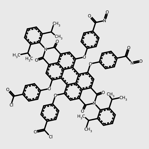 CC(C)c1cccc(C(C)C)c1N1C(=O)c2cc(Oc3ccc(C(=O)Cl)cc3)c3c4c(Oc5ccc(C(=O)Cl)cc5)cc5c6c(cc(Oc7ccc(C(=O)N=O)cc7)c(c7c(Oc8ccc(C(=O)N=O)cc8)cc(c2c37)C1=O)c64)C(=O)N(c1c(C(C)C)cccc1C(C)C)C5=O